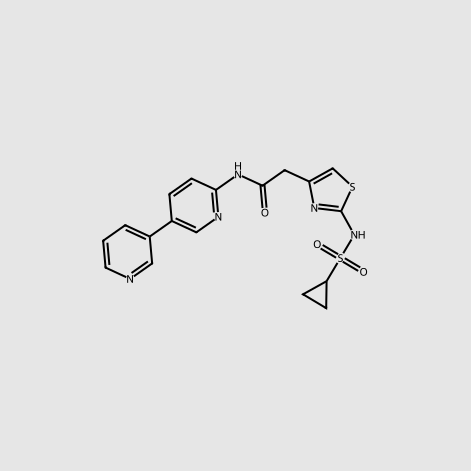 O=C(Cc1csc(NS(=O)(=O)C2CC2)n1)Nc1ccc(-c2cccnc2)cn1